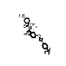 C[C@]1(C(=O)Nc2c[nH]c3ccc(O[C@H]4C[C@H](c5ccc(C(F)(F)F)cc5)C4)cc23)CC[C@@H](O)CC1